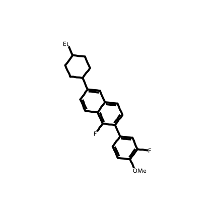 CCC1CCC(c2ccc3c(F)c(-c4ccc(OC)c(F)c4)ccc3c2)CC1